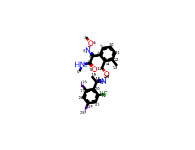 CNC(=O)/C(=N/OC)c1cccc(C)c1CO/N=C(\C)c1c(F)cc(I)cc1I